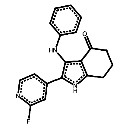 O=C1CCCc2[nH]c(-c3ccnc(F)c3)c(Nc3ccccc3)c21